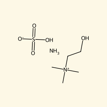 C[N+](C)(C)CCO.N.O=S(=O)([O-])O